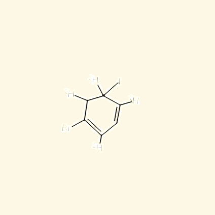 [2H]C1=CC([2H])=C(Br)C([2H])C1([2H])I